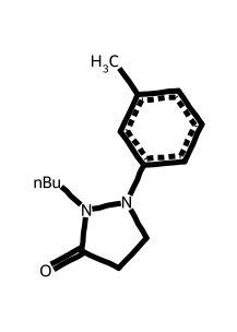 CCCCN1C(=O)CCN1c1cccc(C)c1